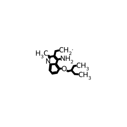 [CH2]Cc1c(C)nc2cccc(OCC(CC)CC)c2c1N